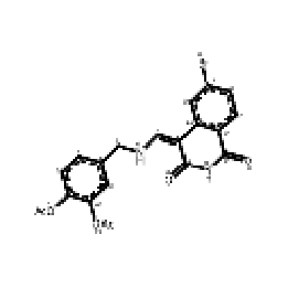 CC(=O)Oc1ccc(CNC=C2C(=O)NC(=O)c3ccc(Br)cc32)cc1OC(C)=O